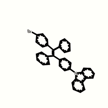 Brc1ccc(/C(=C(\c2ccccc2)c2ccc(-n3c4ccccc4c4ccccc43)cc2)c2ccccc2)cc1